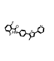 Cc1cc(-c2cccnc2)sc1-c1ccc(NC(=O)c2c(F)cccc2F)cc1